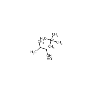 CC(C)CO.C[N+](C)(C)C.[OH-]